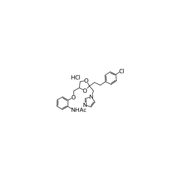 CC(=O)Nc1ccccc1OCC1COC(CCc2ccc(Cl)cc2)(Cn2ccnc2)O1.Cl